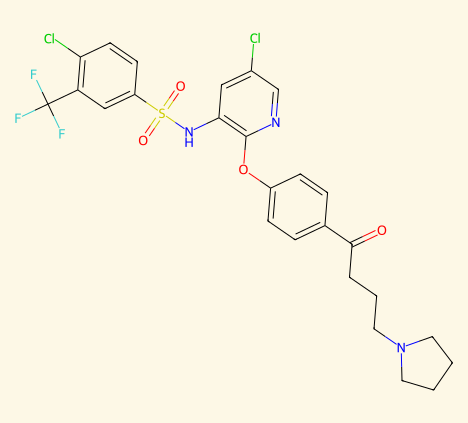 O=C(CCCN1CCCC1)c1ccc(Oc2ncc(Cl)cc2NS(=O)(=O)c2ccc(Cl)c(C(F)(F)F)c2)cc1